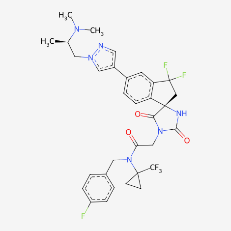 C[C@H](Cn1cc(-c2ccc3c(c2)C(F)(F)C[C@]32NC(=O)N(CC(=O)N(Cc3ccc(F)cc3)C3(C(F)(F)F)CC3)C2=O)cn1)N(C)C